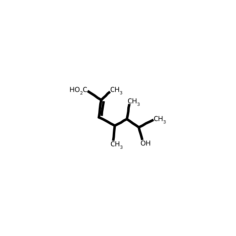 C/C(=C\C(C)C(C)C(C)O)C(=O)O